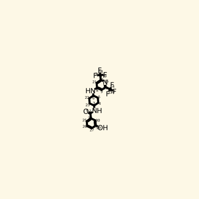 O=C(NC1CCC(Nc2cc(C(F)(F)F)nc(C(F)(F)F)c2)CC1)c1cccc(O)c1